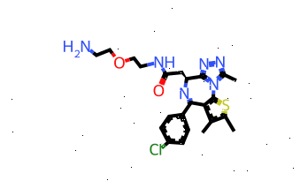 Cc1sc2c(c1C)C(c1ccc(Cl)cc1)=N[C@@H](CC(=O)NCCOCCN)c1nnc(C)n1-2